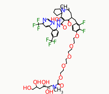 CN(C[C@H](O)[C@@H](O)CC(O)CO)C(=O)COCCOCCOCCOCCOc1ccc(CC2CCN(C)C3(CCCC3)/C(O)=C(/C(=O)Nc3ccc(C(F)(F)F)cc3-c3cc(C(F)(F)F)ncn3)C2=O)c(F)c1F